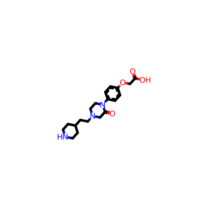 O=C(O)COc1ccc(N2CCN(CCC3CCNCC3)CC2=O)cc1